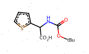 CC(C)(C)OC(=O)NC(C(=O)O)c1cccs1